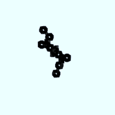 c1ccc(-c2ccc(-n3c4ccccc4c4cc5c(cc43)Sc3cc4c6ccccc6n(-c6cccc(-c7ccccc7)c6)c4cc3S5)cc2)cc1